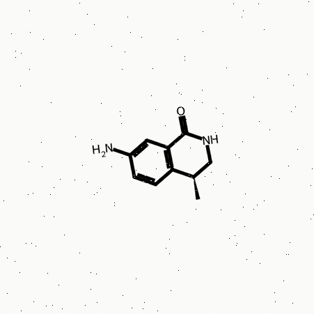 C[C@@H]1CNC(=O)c2cc(N)ccc21